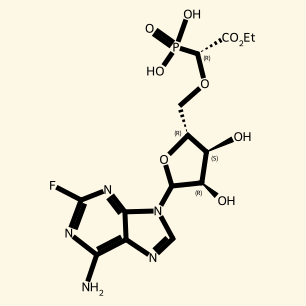 CCOC(=O)[C@H](OC[C@H]1OC(n2cnc3c(N)nc(F)nc32)[C@H](O)[C@@H]1O)P(=O)(O)O